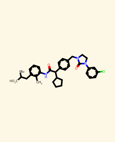 Cc1c(CC(C(=O)O)C(C)(C)C)cccc1NC(=O)C(c1ccc(CN2CCN(c3cccc(Cl)c3)C2=O)cc1)C1CCCC1